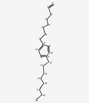 [CH]=CCCCCCCc1ccc(CCCCCCCC)cc1